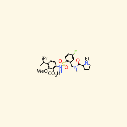 CCN1CCCC1C(=O)N(C)Cc1cc(F)ccc1S(=O)(=O)Nc1ccc(C(C)C(C)C)c(OC)c1C(=O)O